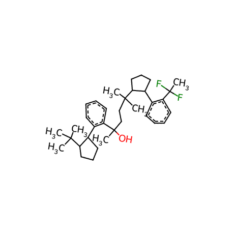 CC(F)(F)c1ccccc1C1CCCC1C(C)(C)CCC(C)(O)c1ccccc1C1CCCC1C(C)(C)C